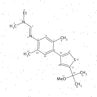 CCN(C)/C=N/c1cc(C)c(-c2csc(C(C)(C)OC)c2)cc1C